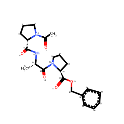 CC(=O)N1CCC[C@H]1C(=O)N[C@@H](C)C(=O)N1CCC[C@H]1C(=O)OCc1ccccc1